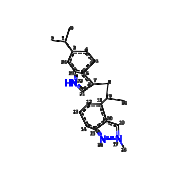 CC(C)c1ccc2c(CC(C)c3cccc4nn(C)cc34)c[nH]c2c1